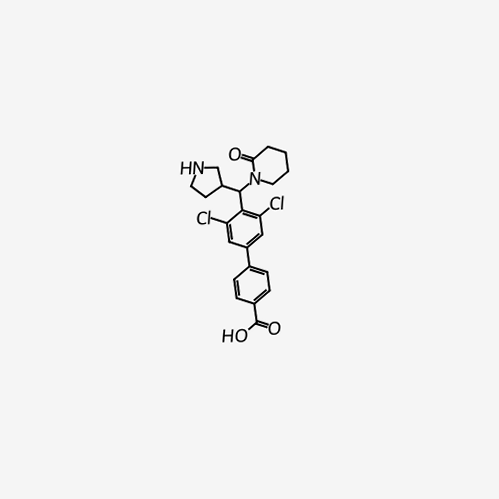 O=C(O)c1ccc(-c2cc(Cl)c(C(C3CCNC3)N3CCCCC3=O)c(Cl)c2)cc1